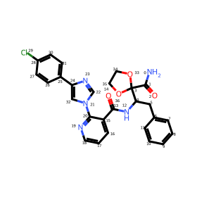 NC(=O)C1(C(Cc2ccccc2)NC(=O)c2cccnc2-n2cnc(-c3ccc(Cl)cc3)c2)OCCO1